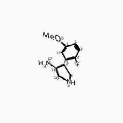 COc1ccc(F)c([C@@H]2CNC[C@H]2N)c1